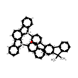 CC1(C)c2ccccc2-c2cc(-c3ccc(-n4c5ccccc5c5ccc6c7ccccc7n(-c7ccc8ccccc8c7)c6c54)cc3)ccc21